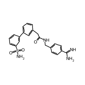 N=C(N)c1ccc(CNC(=O)Cc2cccc(-c3cccc(S(N)(=O)=O)c3)c2)cc1